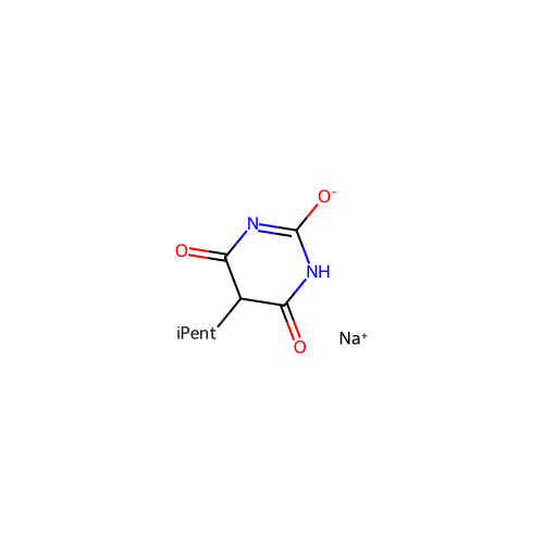 CCCC(C)C1C(=O)N=C([O-])NC1=O.[Na+]